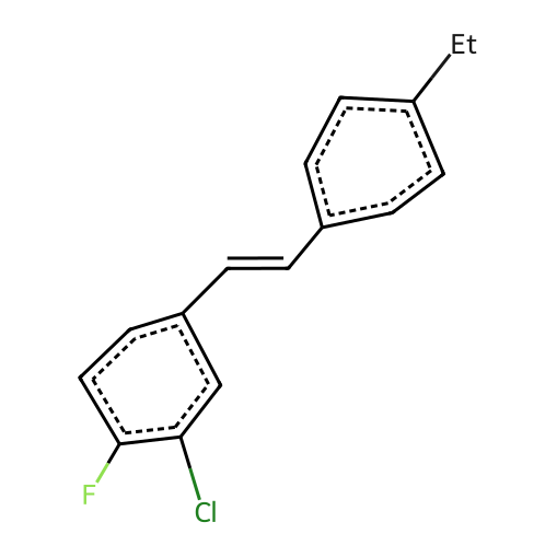 CCc1ccc(/C=C/c2ccc(F)c(Cl)c2)cc1